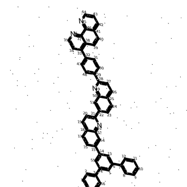 c1ccc(-c2cc(-c3ccccc3)cc(-c3ccc4ccc(-c5ccc6ccc(-c7ccc(-c8ccnc9c8ccc8cccnc89)cc7)nc6c5)nc4c3)c2)cc1